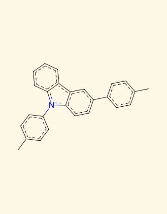 Cc1ccc(-c2ccc3c(c2)c2ccccc2n3-c2ccc(C)cc2)cc1